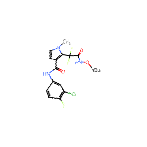 Cn1ccc(C(=O)Nc2ccc(F)c(Cl)c2)c1C(F)(F)C(=O)NOC(C)(C)C